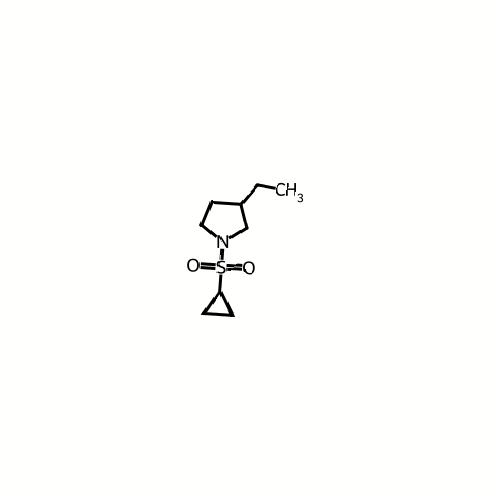 CCC1CCN(S(=O)(=O)C2CC2)C1